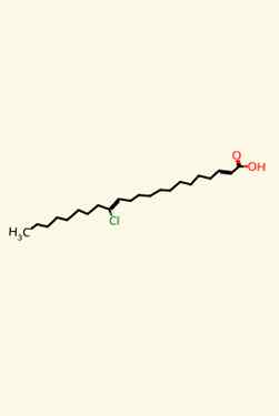 CCCCCCCCC(Cl)=CCCCCCCCCCC=CC(=O)O